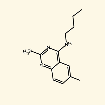 CCCCNc1nc(N)nc2ccc(C)cc12